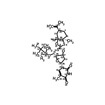 C=C(C)[C@H]1CC[C@@]2(C)S[P@](=S)(O[C@H]3C[C@H](n4cc(C)c(=O)[nH]c4=O)O[C@@H]3CO[Si](C)(C)C(C)(C)C)O[C@@H]2C1